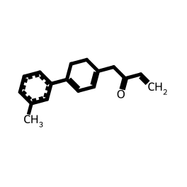 C=CC(=O)CC1=CC=C(c2cccc(C)c2)CC1